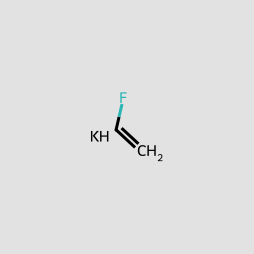 C=CF.[KH]